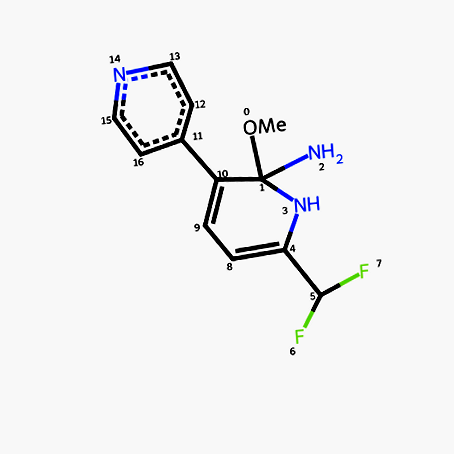 COC1(N)NC(C(F)F)=CC=C1c1ccncc1